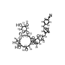 CC[C@H]1OC(=O)[C@H](C)[C@@H](O[C@H]2C[C@@](C)(OC)[C@@H](O)[C@H](C)O2)[C@H](C)[C@@H](O[C@@H]2O[C@H](C)C[C@H](N(C)CCc3cn(Cc4ccc(C#N)cc4)nn3)[C@H]2O)[C@](C)(O)C[C@@H](C)C(=O)[C@H](C)[C@@H](O)[C@]1(C)O